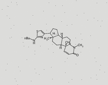 CCCCNc1nc(C2CC[C@H]3[C@@H]4CCC5N(C)C(=O)C=C[C@]5(C)[C@@H]4CC[C@]23C)cs1